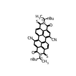 [C-]#[N+]c1cc2c3c(ccc4c5c(C#N)cc6c7c(ccc(c1c34)c75)C(=S)N([C@@H](C)CCCC)C6=O)C(=S)N([C@@H](C)CCCC)C2=O